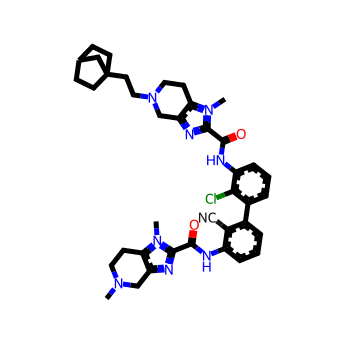 CN1CCc2c(nc(C(=O)Nc3cccc(-c4cccc(NC(=O)c5nc6c(n5C)CCN(CCC57CCC(CC5)C7)C6)c4Cl)c3C#N)n2C)C1